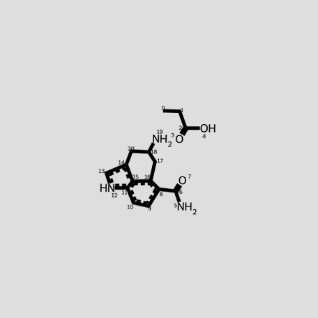 CCC(=O)O.NC(=O)c1ccc2[nH]cc3c2c1CC(N)C3